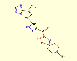 Cc1cc(-c2cc(C(=O)C(=O)NC3(C(C)C)CCN(C(C)C)CC3)n[nH]2)cn2ncnc12